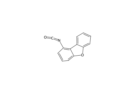 O=C=Nc1cccc2oc3ccccc3c12